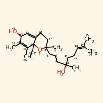 CCC12OC(C)(CCCC(C)(O)CCC=C(C)C)CCC1=CC(O)C(C)=C2C